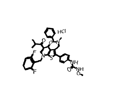 CONC(=O)Nc1ccc(-c2sc3c(c2CN(C)Cc2ccccc2)c(=O)c(C(=O)C(C)C)cn3Cc2c(F)cccc2F)cc1.Cl